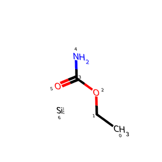 CCOC(N)=O.[Si]